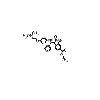 CCOC(=O)c1ccc2c(c1)NC(=O)/C2=C(\Nc1ccc(OCCN(C)C)cc1)c1ccccc1